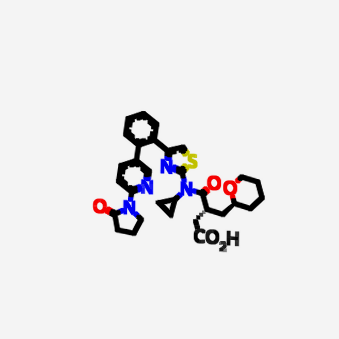 O=C(O)C[C@@H](C[C@@H]1CCCCO1)C(=O)N(c1nc(-c2ccccc2-c2ccc(N3CCCC3=O)nc2)cs1)C1CC1